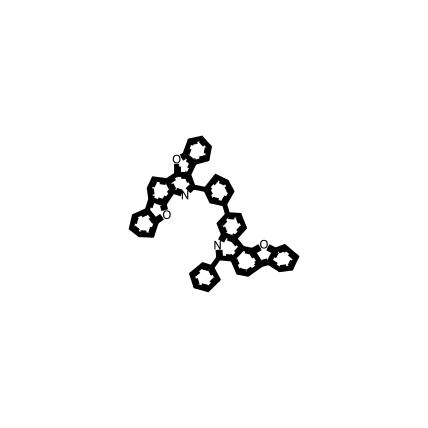 c1ccc(-c2nc3cc(-c4cccc(-c5nc6c(ccc7c8ccccc8oc76)c6oc7ccccc7c56)c4)ccc3c3c2ccc2c4ccccc4oc23)cc1